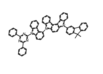 CC1(C)c2ccccc2-c2cc(-n3c4ccccc4c4c5c6ccccc6n(-c6cccc7c6c6ccccc6n7-c6nc(-c7ccccc7)nc(-c7ccccc7)n6)c5ccc43)ccc21